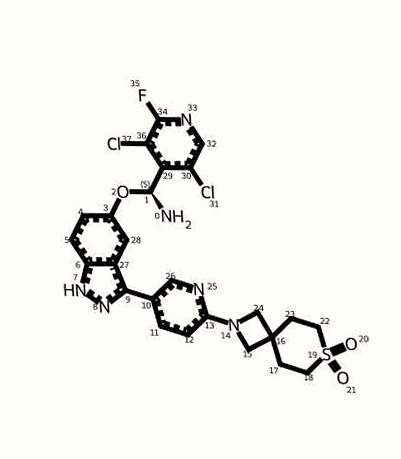 N[C@@H](Oc1ccc2[nH]nc(-c3ccc(N4CC5(CCS(=O)(=O)CC5)C4)nc3)c2c1)c1c(Cl)cnc(F)c1Cl